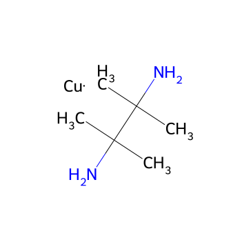 CC(C)(N)C(C)(C)N.[Cu]